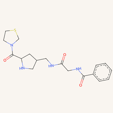 O=C(CNC(=O)c1ccccc1)NCC1CNC(C(=O)N2CCSC2)C1